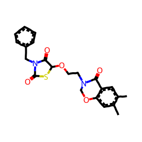 Cc1cc2c(cc1C)C(=O)N(CCOC1SC(=O)N(Cc3ccccc3)C1=O)CO2